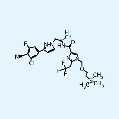 C[C@@H](Cn1ccc(-c2cc(F)c(C#N)c(Cl)c2)n1)NC(=O)c1cn(COCC[Si](C)(C)C)c(CC(F)(F)F)n1